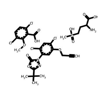 C#CCOc1cc(-n2nc(C(C)(C)C)oc2=O)c(Cl)cc1Cl.COc1c(Cl)ccc(Cl)c1C(=O)O.CP(=O)(O)CCC(N)C(=O)O